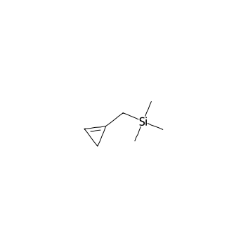 C[Si](C)(C)CC1=CC1